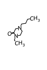 CCCCN1CCN(CC)C(=O)C1